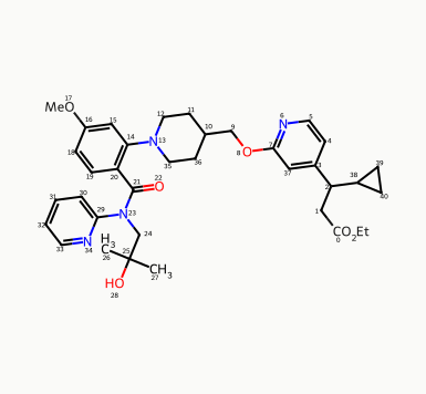 CCOC(=O)CC(c1ccnc(OCC2CCN(c3cc(OC)ccc3C(=O)N(CC(C)(C)O)c3ccccn3)CC2)c1)C1CC1